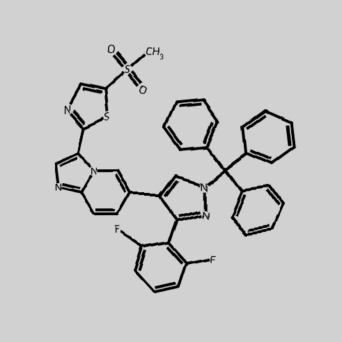 CS(=O)(=O)c1cnc(-c2cnc3ccc(-c4cn(C(c5ccccc5)(c5ccccc5)c5ccccc5)nc4-c4c(F)cccc4F)cn23)s1